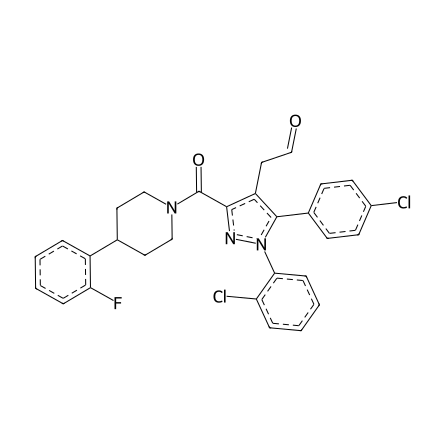 O=CCc1c(C(=O)N2CCC(c3ccccc3F)CC2)nn(-c2ccccc2Cl)c1-c1ccc(Cl)cc1